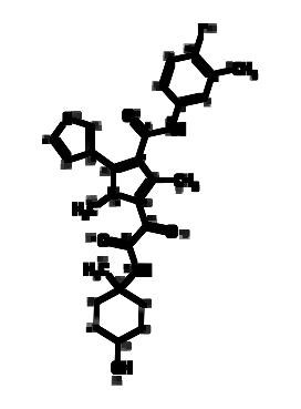 Cc1cc(NC(=O)c2c(C)c(C(=O)C(=O)NC3(C)CCC(O)CC3)n(C)c2-c2ccsc2)ccc1F